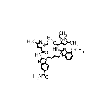 CCn1nc(C)cc1C(=O)Nc1nc2cc(C(N)=O)ccc2n1CCCCn1c(NC(=O)c2cc(C)nn2CC)nc2c(OC)cccc21